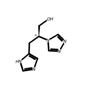 OC[C@H](Cc1cnc[nH]1)n1cnnc1